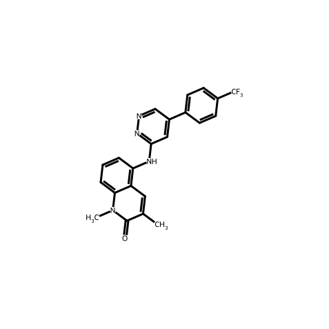 Cc1cc2c(Nc3cc(-c4ccc(C(F)(F)F)cc4)cnn3)cccc2n(C)c1=O